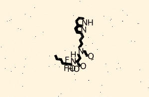 CCCCC(F)(F)C(=O)NC(CCN(CCCCc1ccc2c(n1)NCCC2)CCOC)C(=O)O